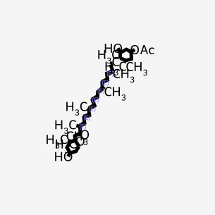 CC(=O)OC1CC(C)(C)C(=C=C/C(C)=C/C=C/C(C)=C/C=C/C=C(C)/C=C/C=C(\C)C(=O)CC23OC2(C)CC(O)CC3(C)C)C(C)(O)C1